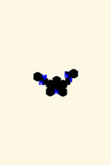 C=N/C(=N\C=C(/C)c1cccc(-c2ccccc2-c2cc(-c3ccccc3-c3cccc(-c4cnc(-c5ccccc5)nc4)c3)cc(-c3ccccc3)n2)c1)c1ccccc1